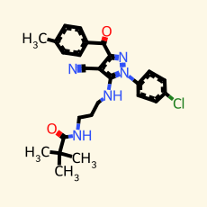 Cc1ccc(C(=O)c2nn(-c3ccc(Cl)cc3)c(NCCCNC(=O)C(C)(C)C)c2C#N)cc1